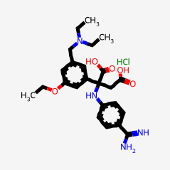 CCOc1cc(CN(CC)CC)cc(C(CC(=O)O)(Nc2ccc(C(=N)N)cc2)C(=O)O)c1.Cl